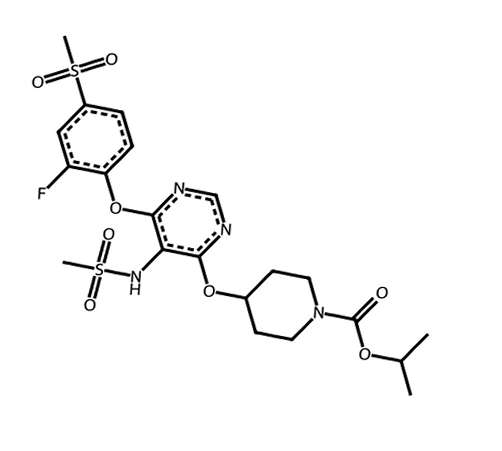 CC(C)OC(=O)N1CCC(Oc2ncnc(Oc3ccc(S(C)(=O)=O)cc3F)c2NS(C)(=O)=O)CC1